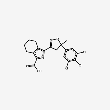 CC1(c2cc(Cl)c(Cl)c(Cl)c2)CC(c2sc(C(=O)O)c3c2CCCC3)=NO1